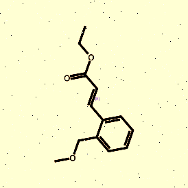 CCOC(=O)/C=C/c1ccccc1COC